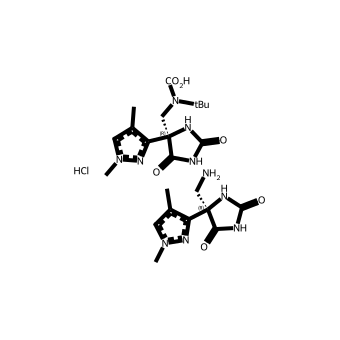 Cc1cn(C)nc1[C@@]1(CN(C(=O)O)C(C)(C)C)NC(=O)NC1=O.Cc1cn(C)nc1[C@@]1(CN)NC(=O)NC1=O.Cl